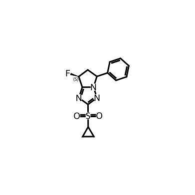 O=S(=O)(c1nc2n(n1)C(c1ccccc1)C[C@@H]2F)C1CC1